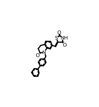 O=C1NC(=O)/C(=C/c2ccc3c(c2)N(Cc2ccc(-c4ccccc4)cc2)C(=O)CC3)S1